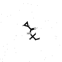 CCC(C)(C)NC(=O)C1CC1